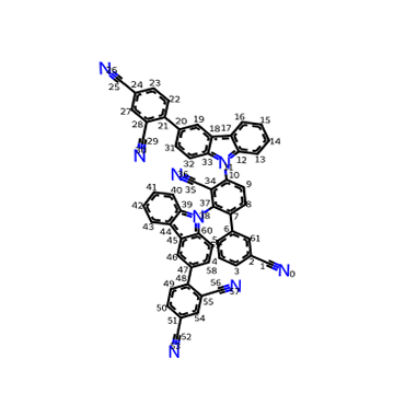 N#Cc1cccc(-c2ccc(-n3c4ccccc4c4cc(-c5ccc(C#N)cc5C#N)ccc43)c(C#N)c2-n2c3ccccc3c3cc(-c4ccc(C#N)cc4C#N)ccc32)c1